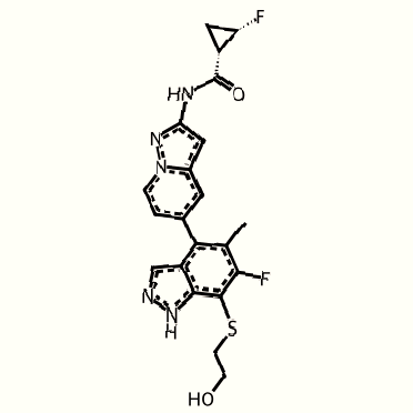 Cc1c(F)c(SCCO)c2[nH]ncc2c1-c1ccn2nc(NC(=O)[C@@H]3C[C@@H]3F)cc2c1